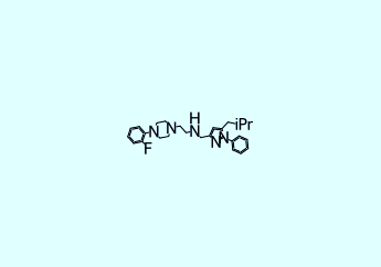 CC(C)Cc1cc(CNCCN2CCN(c3ccccc3F)CC2)nn1-c1ccccc1